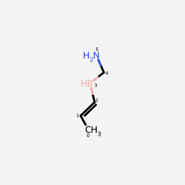 C/C=C/BCN